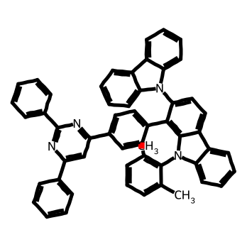 Cc1cccc(C)c1-n1c2ccccc2c2ccc(-n3c4ccccc4c4ccccc43)c(-c3ccc(-c4cc(-c5ccccc5)nc(-c5ccccc5)n4)cc3)c21